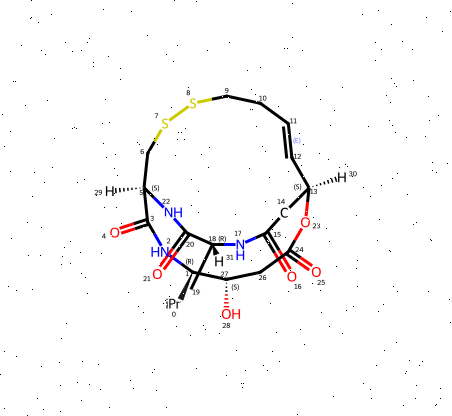 CC(C)[C@H]1NC(=O)[C@H]2CSSCC/C=C/[C@H](CC(=O)N[C@H](C)C(=O)N2)OC(=O)C[C@@H]1O